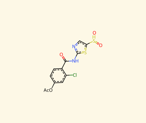 CC(=O)Oc1ccc(C(=O)Nc2ncc([SH](=O)=O)s2)c(Cl)c1